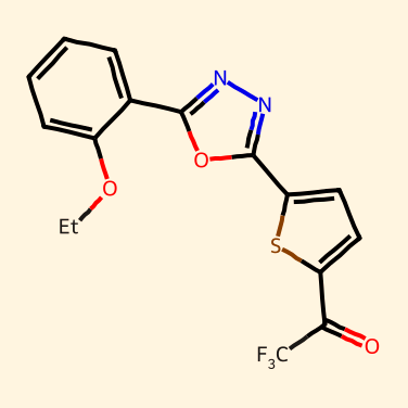 CCOc1ccccc1-c1nnc(-c2ccc(C(=O)C(F)(F)F)s2)o1